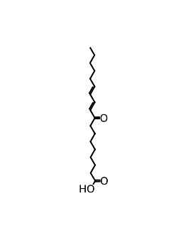 CCCCCC=C/C=C/C(=O)CCCCCCCC(=O)O